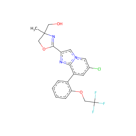 CC1(CO)COC(c2cn3cc(Cl)cc(-c4ccccc4OCC(F)(F)F)c3n2)=N1